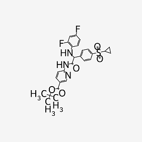 CC(C)(C)OC(=O)c1ccc(NC(=O)C(Nc2ccc(F)cc2F)c2ccc(S(=O)(=O)C3CC3)cc2)nc1